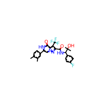 Cc1ccc(-c2cn3nc(C(=O)NC(c4ccc(F)cc4)C(C)(C)O)c(C(F)(F)F)c3c(=O)[nH]2)cc1C